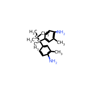 Cc1cc([Si](C)(c2ccc(N)c(C)c2)[Si](C)(C)C)ccc1N